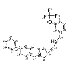 FC(F)(F)Oc1cccc(CNCC2C3CN(Cc4ccc(-c5ccccc5)cc4)CC23)c1